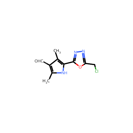 Cc1[nH]c(-c2nnc(CCl)o2)c(C)c1C=O